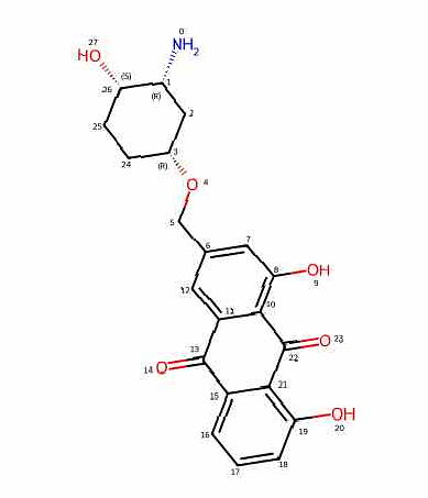 N[C@@H]1C[C@H](OCc2cc(O)c3c(c2)C(=O)c2cccc(O)c2C3=O)CC[C@@H]1O